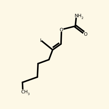 CCCCCC(I)=COC(N)=O